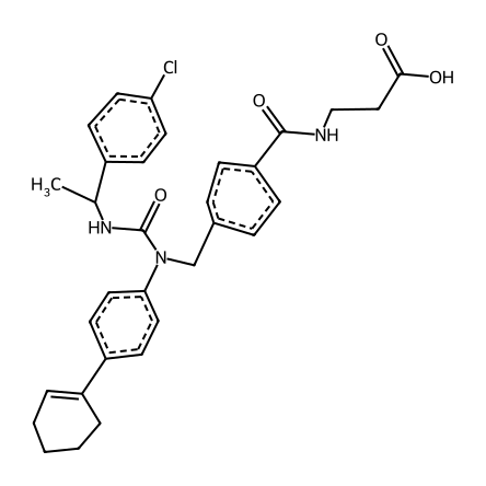 CC(NC(=O)N(Cc1ccc(C(=O)NCCC(=O)O)cc1)c1ccc(C2=CCCCC2)cc1)c1ccc(Cl)cc1